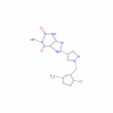 CCCn1c(=O)[nH]c2nc(-c3cnn(Cc4cc(C(F)(F)F)ccc4Cl)c3)[nH]c2c1=O